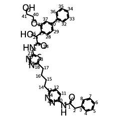 O=C(Cc1ccccc1)Nc1ccc(CCCCc2nnc(NC(=O)C(O)c3ccc(-c4ccccc4)cc3OCCO)s2)nn1